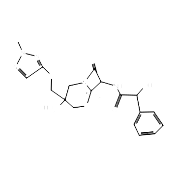 Cn1ncc(SCC2(C(=O)O)CS[C@@H]3C(NC(=O)C(O)c4ccccc4)C(=O)N3C2)n1